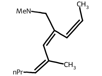 C\C=C/C(=C\C(C)=C/CCC)CNC